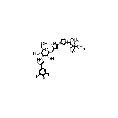 CC(C)(C)OC(=O)N1CC[C@@H](c2cc(C[C@H]3O[C@H](CO)[C@H](O)[C@H](n4cc(-c5cc(F)c(F)c(F)c5)nn4)[C@H]3O)no2)C1